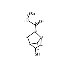 CC(C)(C)OC(=O)C1CC2CC1CC2S